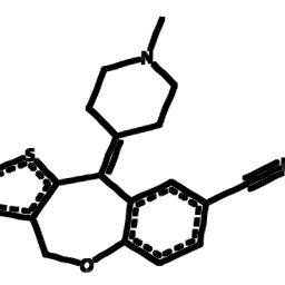 CN1CCC(=C2c3cc(C#N)ccc3OCc3ccsc32)CC1